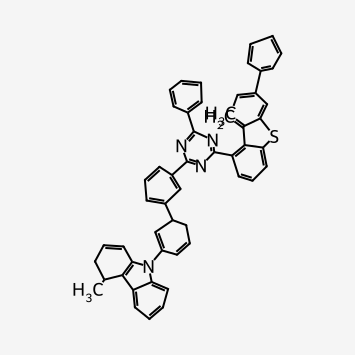 C=c1/c(=C\C(=C/C)c2ccccc2)sc2cccc(-c3nc(-c4ccccc4)nc(-c4cccc(C5C=C(n6c7c(c8ccccc86)C(C)CC=C7)C=CC5)c4)n3)c12